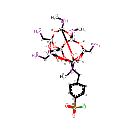 CP[Si]12O[Si]3(CP)O[Si]4(CCc5ccc(S(=O)(=O)Cl)cc5)O[Si]5(CP)O[Si](CP)(O3)O[Si](PC)(O1)O[Si](PC)(O5)O[Si](CP)(O4)O2